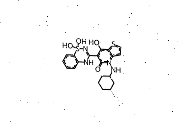 C[C@@H]1CCCC(Nn2c(=O)c(C3=NS(O)(O)c4ccccc4N3)c(O)c3sccc32)C1